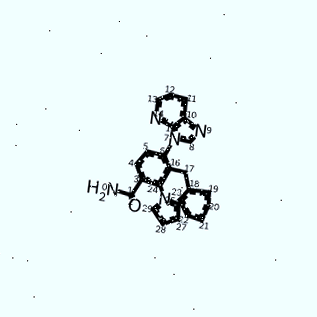 NC(=O)c1ccc(-n2cnc3cccnc32)c(Cc2ccccc2)c1-n1cccc1